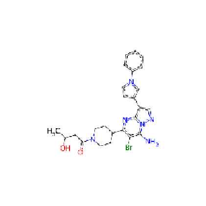 CC(O)CC(=O)N1CCC(c2nc3c(-c4ccn(-c5ccccc5)c4)cnn3c(N)c2Br)CC1